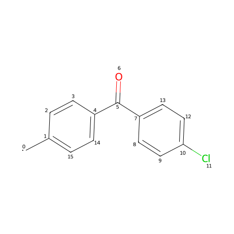 [CH2]c1ccc(C(=O)c2ccc(Cl)cc2)cc1